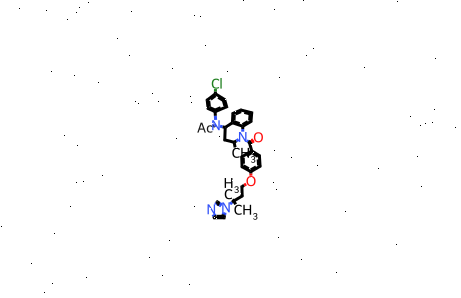 CC(=O)N(c1ccc(Cl)cc1)C1CC(C)N(C(=O)c2ccc(OCCC(C)(C)n3ccnc3)cc2)c2ccccc21